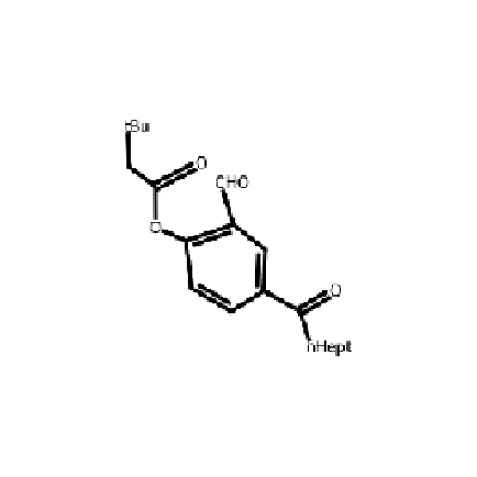 CCCCCCCC(=O)c1ccc(OC(=O)CC(C)(C)C)c(C=O)c1